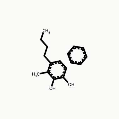 CCCCc1ccc(O)c(O)c1C.c1ccccc1